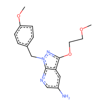 COCCOc1nn(Cc2ccc(OC)cc2)c2ncc(N)cc12